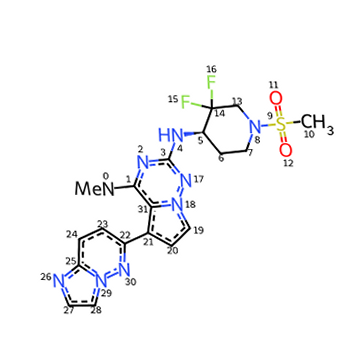 CNc1nc(N[C@@H]2CCN(S(C)(=O)=O)CC2(F)F)nn2ccc(-c3ccc4nccn4n3)c12